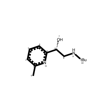 Cc1cccc([C@H](O)CNC(C)(C)C)n1